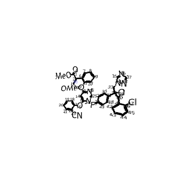 CO/C=C(/C(=O)OC)c1ccccc1Oc1cc(Oc2ccccc2C#N)ncn1.Fc1ccc(C2(Cn3cncn3)OC2c2ccccc2Cl)cc1